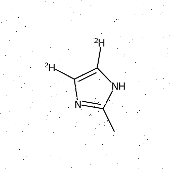 [2H]c1nc(C)[nH]c1[2H]